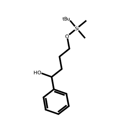 CC(C)(C)[Si](C)(C)OCCCC(O)c1ccccc1